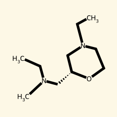 CCN(C)C[C@@H]1CN(CC)CCO1